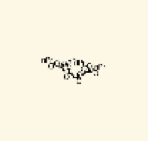 CCCC(=O)OCC(COC(=O)CCC(=O)OCC(COC(=O)CCC)OC(=O)CCC)OC(=O)CCC